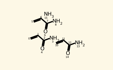 C=CC(N)=O.C=CC(N)=O.C=CC(N)=O.N